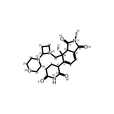 O=C1CCC(C2=CC=C3C(=O)N(F)C(=O)C3C2(F)CN2CCC2N2CCOCC2)C(=O)N1